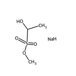 COS(=O)(=O)C(C)O.[NaH]